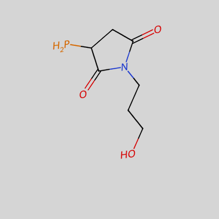 O=C1CC(P)C(=O)N1CCCO